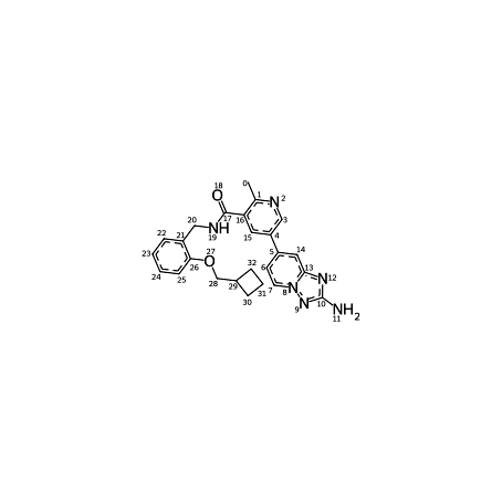 Cc1ncc(-c2ccn3nc(N)nc3c2)cc1C(=O)NCc1ccccc1OCC1CCC1